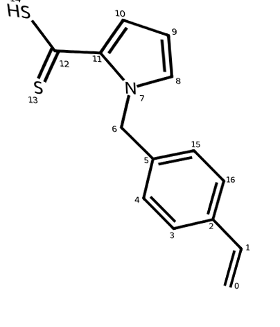 C=Cc1ccc(Cn2cccc2C(=S)S)cc1